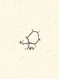 CCCC1([As])CCCCC1